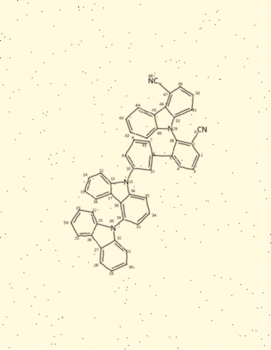 N#Cc1cccc(-c2cccc(-n3c4ccccc4c4c(-n5c6ccccc6c6ccccc65)cccc43)c2)c1-n1c2ccccc2c2c(C#N)cccc21